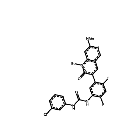 CCn1c(=O)c(-c2cc(NC(=O)Nc3cccc(Cl)c3)c(F)cc2F)cc2cnc(NC)cc21